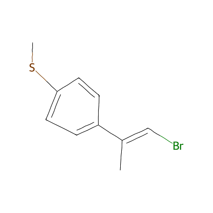 CSc1ccc(C(C)=CBr)cc1